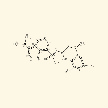 CC(C)c1cc(F)cc2c1NC(N=S(N)(=O)c1cccc3c(N(C)C)cccc13)=CC2N